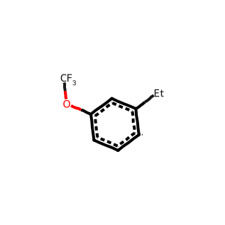 CCc1[c]ccc(OC(F)(F)F)c1